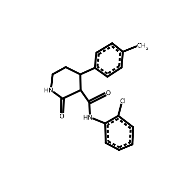 Cc1ccc(C2CCNC(=O)C2C(=O)Nc2ccccc2Cl)cc1